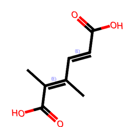 CC(/C=C/C(=O)O)=C(/C)C(=O)O